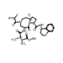 CC(C)[C@@H](F)C(=O)N1CC[C@H]2CC[C@@H](C(=O)N[C@@H]3CCOc4ccccc43)N2C(=O)[C@@H](NC(=O)[C@H](C)N(C)C(=O)OC(C)(C)C)C1